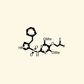 COc1nc(NS(=O)(=O)c2c[nH]cc2Cc2ccccc2)nc(OC)c1OCC(F)F